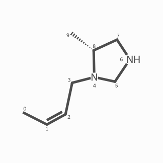 C/C=C\CN1CNC[C@H]1C